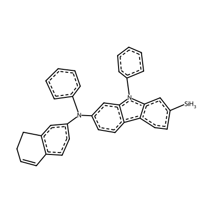 [SiH3]c1ccc2c3ccc(N(c4ccccc4)c4ccc5c(c4)CCC=C5)cc3n(-c3ccccc3)c2c1